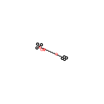 OC(COCCCCCCCCCCOCCCCc1ccc2ccc3cccc4ccc1c2c34)COC(c1ccccc1)(c1ccccc1)c1ccccc1